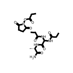 CCC(=O)NC(NC(=O)CC)C(=O)N[C@@H](C)C(N)=O.CCC(=O)ON1C(=O)CCC1=O